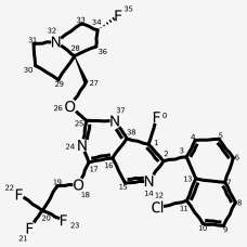 Fc1c(-c2cccc3cccc(Cl)c23)ncc2c(OCC(F)(F)F)nc(OC[C@@]34CCCN3C[C@H](F)C4)nc12